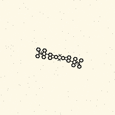 CC1(C)c2cc3c(cc2C(C)(C)c2cc4c(cc21)-c1ccc(-c2c5ccccc5c(N(c5ccccc5)c5ccccc5)c5ccccc25)c2cccc-4c12)-c1ccc(-c2c4ccccc4c(N(c4ccccc4)c4ccccc4)c4ccccc24)c2cccc-3c12